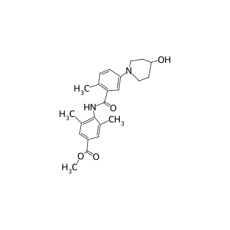 COC(=O)c1cc(C)c(NC(=O)c2cc(N3CCC(O)CC3)ccc2C)c(C)c1